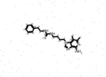 Cc1nc(N)c2ncn(CCCCNC(=S)NCCc3ccccc3)c2c1C